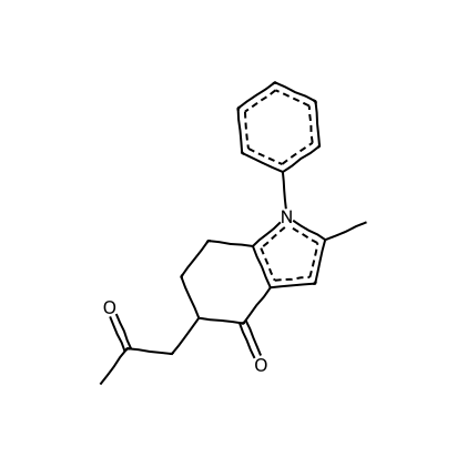 CC(=O)CC1CCc2c(cc(C)n2-c2ccccc2)C1=O